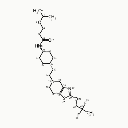 CC(C)OCCC(=O)N[C@H]1CC[C@H](CCN2CCc3sc(OCC(C)(F)F)nc3C2)CC1